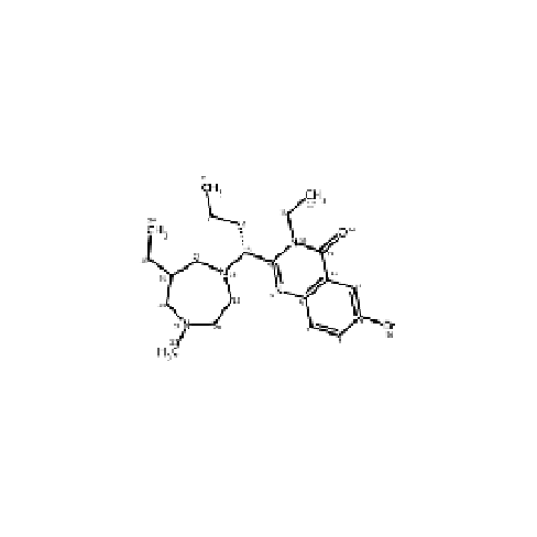 CCC[C@H](c1nc2ccc(Br)cc2c(=O)n1CC)N1CCN(C)CC(CC)C1